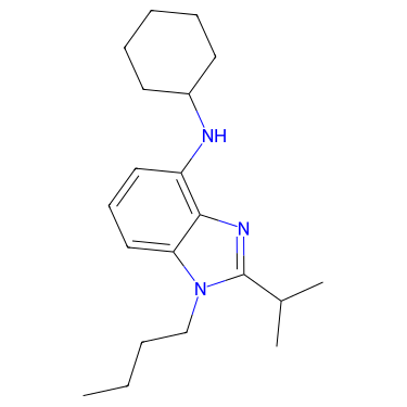 CCCCn1c(C(C)C)nc2c(NC3CCCCC3)cccc21